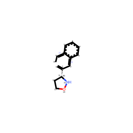 C=C(/C=c1/cccc/c1=C/C)[C@H]1CCON1